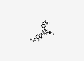 Cc1ccc(CNc2nc(N)nc(-c3ccc4cn[nH]c4c3)n2)c(F)c1F